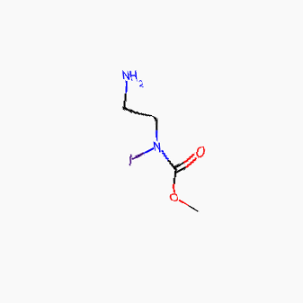 COC(=O)N(I)CCN